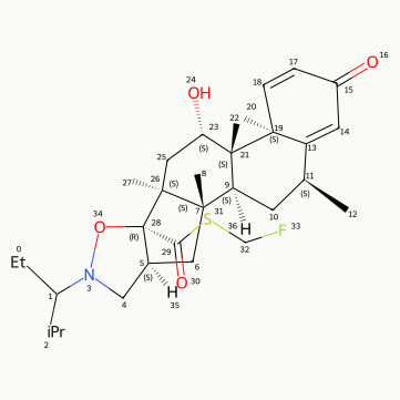 CCC(C(C)C)N1C[C@@H]2C[C@@]3(C)[C@@H]4C[C@H](C)C5=CC(=O)C=C[C@]5(C)[C@@]4(C)[C@@H](O)C[C@]3(C)[C@]2(C(=O)SCF)O1